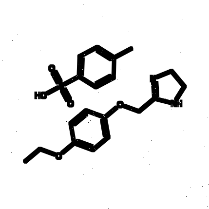 CCOc1ccc(OCC2=NCCN2)cc1.Cc1ccc(S(=O)(=O)O)cc1